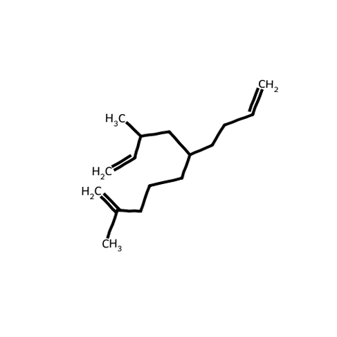 C=CCCC(CCCC(=C)C)CC(C)C=C